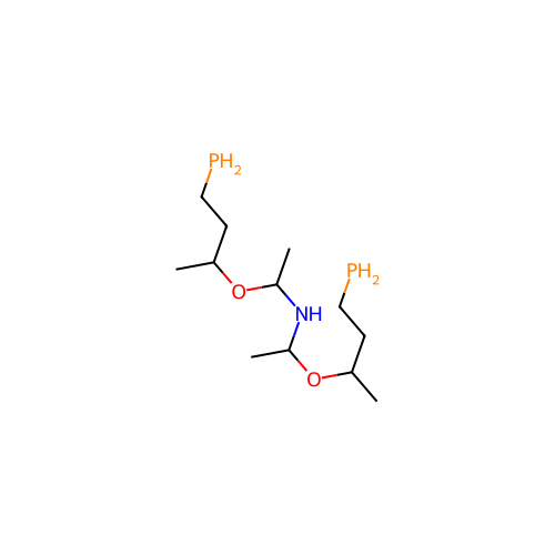 CC(CCP)OC(C)NC(C)OC(C)CCP